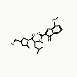 COc1cccc2[nH]c(C(=O)N(C)C(CC(C)C)C(=O)N3CC(C=O)CC3C)cc12